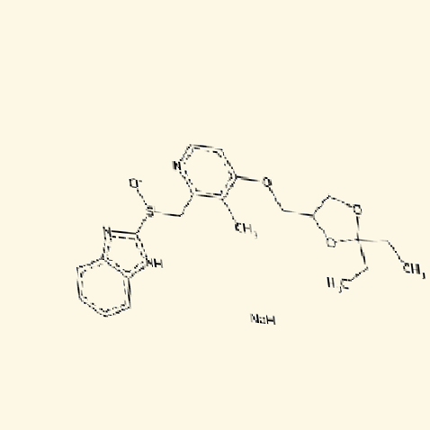 CCC1(CC)OCC(COc2ccnc(C[S+]([O-])c3nc4ccccc4[nH]3)c2C)O1.[NaH]